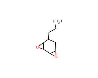 O=C(O)CCC1CC2OC2C2OC12